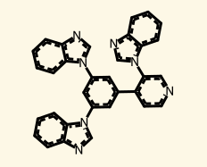 c1ccc2c(c1)ncn2-c1cc(-c2ccncc2-n2cnc3ccccc32)cc(-n2cnc3ccccc32)c1